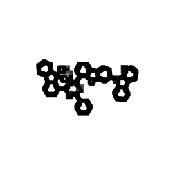 CC1(C)c2ccccc2-c2cccc(-c3nc(-c4ccccc4)nc(-c4cccc5c4oc4cc(-n6c7ccccc7c7cccnc76)ccc45)n3)c21